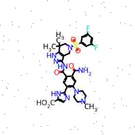 CN1CCN(c2cc(C(N)=O)c(C(=O)Nc3n[nH]c4c3CN(S(=O)(=O)c3cc(F)cc(F)c3)CC4(C)C)cc2-c2ncc(C(=O)O)[nH]2)CC1